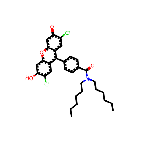 CCCCCCN(CCCCCC)C(=O)c1ccc(-c2c3cc(Cl)c(=O)cc-3oc3cc(O)c(Cl)cc23)cc1